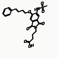 CS(=O)(=O)Nc1cc2c(cc1OCCCCc1ccccc1)C(=O)N(CCCC(=O)O)C2=O